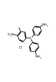 Cc1cc([C+](c2ccc(N)cc2)c2ccc(N)cc2)ccc1N.[Cl-]